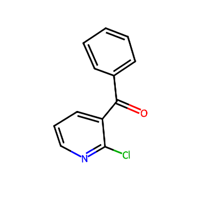 O=C(c1ccccc1)c1cccnc1Cl